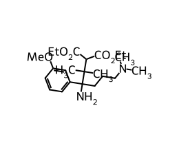 CCOC(=O)C(C(=O)OCC)C(C)(C)C(N)(CCCN(C)C)c1cccc(OC)c1